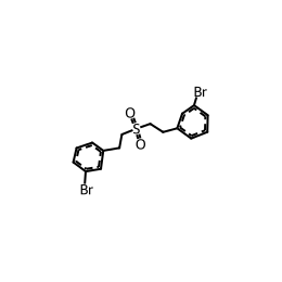 O=S(=O)(CCc1cccc(Br)c1)CCc1cccc(Br)c1